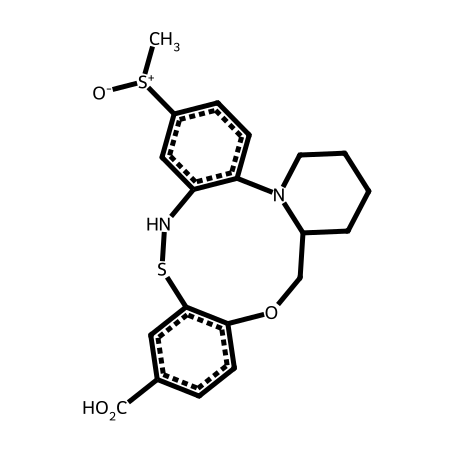 C[S+]([O-])c1ccc2c(c1)NSc1cc(C(=O)O)ccc1OCC1CCCCN21